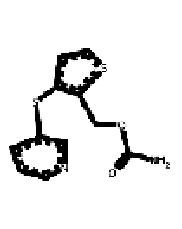 NC(=O)OCc1sccc1Sc1cccnc1